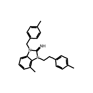 Cc1ccc(CCn2c(=N)n(Cc3ccc(C)cc3)c3cccc(C)c32)cc1